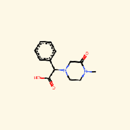 CN1CCN(C(C(=O)O)c2ccccc2)CC1=O